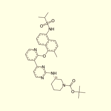 Cc1ccc2c(NS(=O)(=O)C(C)C)cccc2c1Oc1ncccc1-c1ccnc(N[C@H]2CCCN(C(=O)OC(C)(C)C)C2)n1